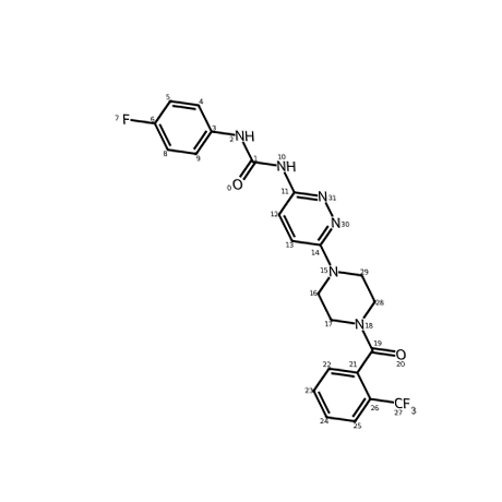 O=C(Nc1ccc(F)cc1)Nc1ccc(N2CCN(C(=O)c3ccccc3C(F)(F)F)CC2)nn1